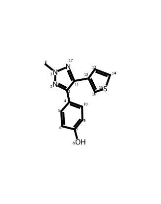 Cn1nc(-c2ccc(O)cc2)c(-c2ccsc2)n1